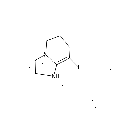 IC1=C2NCCN2CCC1